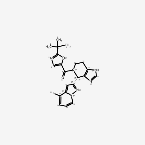 CC(C)(C)c1nnc(C(=O)N2CCc3[nH]cnc3[C@@H]2c2cc3c(F)cccn3n2)o1